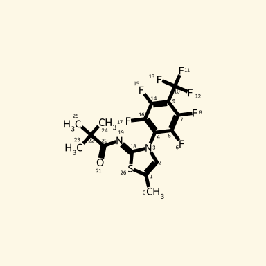 Cc1cn(-c2c(F)c(F)c(C(F)(F)F)c(F)c2F)c(=NC(=O)C(C)(C)C)s1